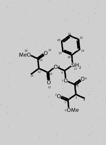 COC(=O)C(C)C(=O)OC(OC(=O)C(C)C(=O)OC)[SiH2]c1ccccc1